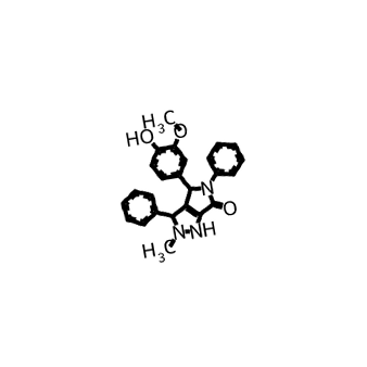 COc1cc(C2C3=C(NN(C)C3c3ccccc3)C(=O)N2c2ccccc2)ccc1O